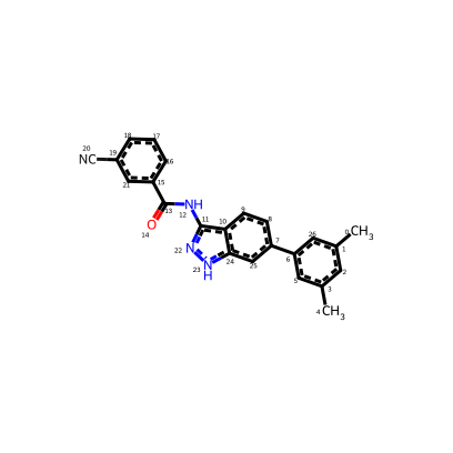 Cc1cc(C)cc(-c2ccc3c(NC(=O)c4cccc(C#N)c4)n[nH]c3c2)c1